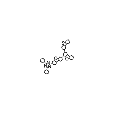 c1ccc(-c2nc(-c3ccccc3)nc(-c3ccc4c(c3)oc3cc(-c5cc(-c6ccc7sc8ccccc8c7c6)cc6c5oc5ccccc56)ccc34)n2)cc1